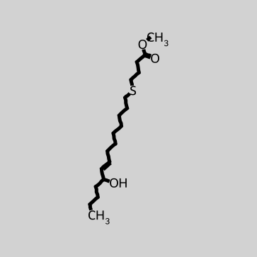 CCCCC(O)C=CCCCCCCCSCCCC(=O)OC